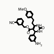 COc1ccc(CCC2=C(C(=O)OCc3cccc(C#N)c3)C(c3cccc(N)c3)NC(=O)N2)cc1